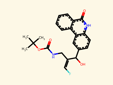 CC(C)(C)OC(=O)NC/C(=C/F)C(O)c1ccc2[nH]c(=O)c3ccccc3c2c1